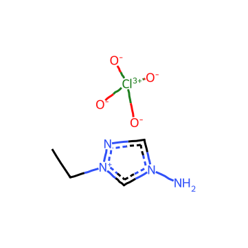 CC[n+]1cn(N)cn1.[O-][Cl+3]([O-])([O-])[O-]